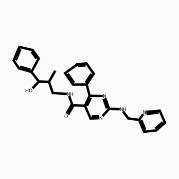 CC(CNC(=O)c1cnc(NCc2ccccn2)nc1-c1ccccc1)C(O)c1ccccc1